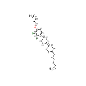 CCCCCCC1CCC(C2CCC(c3ccc(OCCCC)c(F)c3F)CC2)CC1